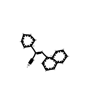 N#C/C(=C\c1cccc2ccccc12)c1ccccc1